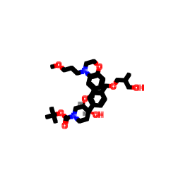 COCCCN1CCOc2ccc(CO[C@H]3CN(C(=O)OC(C)(C)C)CC[C@]3(O)c3ccc(COCC(C)CO)cc3)cc21